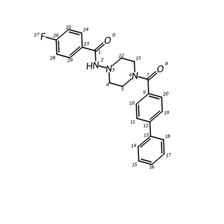 O=C(NN1CCN(C(=O)c2ccc(-c3ccccc3)cc2)CC1)c1ccc(F)cc1